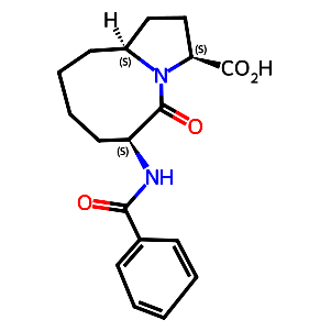 O=C(N[C@H]1CCCC[C@H]2CC[C@@H](C(=O)O)N2C1=O)c1ccccc1